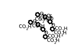 O=C(O)c1cccc(Oc2ccc(-c3ccc(Oc4cccc(C(=O)O)c4C(=O)O)cc3)cc2)c1C(=O)O.O=C(O)c1cccc(Oc2ccc(-c3ccc(Oc4cccc(C(=O)O)c4C(=O)O)cc3)cc2)c1C(=O)O.O=S=O